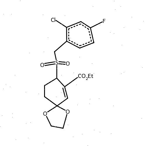 CCOC(=O)C1=CC2(CCC1S(=O)(=O)Cc1ccc(F)cc1Cl)OCCO2